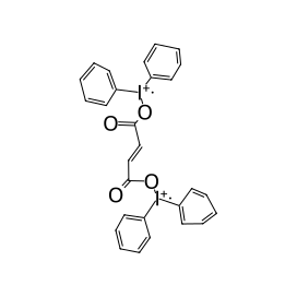 O=C(/C=C/C(=O)O[I+](c1ccccc1)c1ccccc1)O[I+](c1ccccc1)c1ccccc1